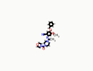 COc1cc(N=C(C)N2CCCN(C(=O)N3CCOCC3)CC2)c(C#N)cc1OCc1ccccc1